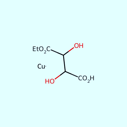 CCOC(=O)C(O)C(O)C(=O)O.[Cu]